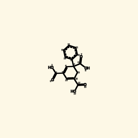 O=C(O)C1=CC(C(=O)O)(c2ccccc2)CC(C(=O)O)=C1